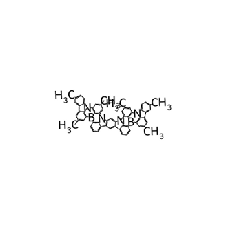 Cc1cc2c3c(c1)-n1c4cc5c(cc4c4cccc(c41)B3c1cc(C)cc3c4cc(C)ccc4n-2c13)c1cccc2c1n5-c1cc(C)cc3c1B2c1cc(C)cc2c4cc(C)ccc4n-3c12